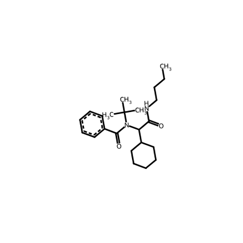 CCCCNC(=O)C(C1CCCCC1)N(C(=O)c1ccccc1)C(C)(C)C